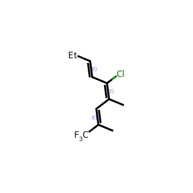 CC/C=C/C(Cl)=C(C)\C=C(/C)C(F)(F)F